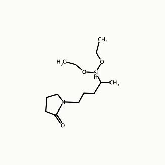 CCO[SiH](OCC)C(C)CCCN1CCCC1=O